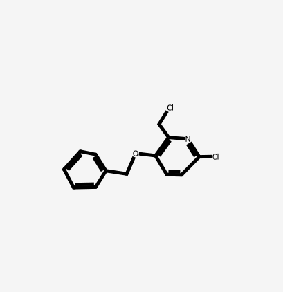 ClCc1nc(Cl)ccc1OCc1ccccc1